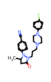 CC1CC(=O)N(CCCN2CCN(c3ccc(F)cc3)CC2)N1c1ccc(C#N)cc1